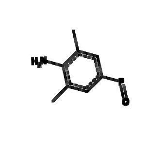 Cc1cc(P=O)cc(C)c1N